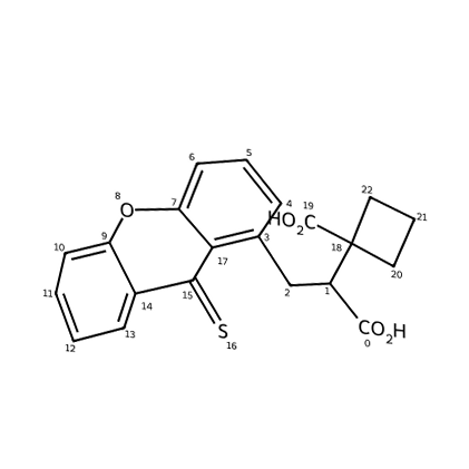 O=C(O)C(Cc1cccc2oc3ccccc3c(=S)c12)C1(C(=O)O)CCC1